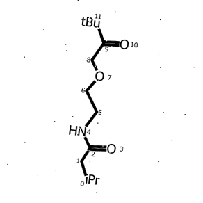 CC(C)CC(=O)NCCOCC(=O)C(C)(C)C